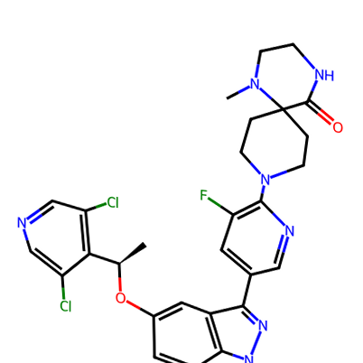 C[C@@H](Oc1ccc2[nH]nc(-c3cnc(N4CCC5(CC4)C(=O)NCCN5C)c(F)c3)c2c1)c1c(Cl)cncc1Cl